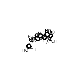 C=C(C)[C@@H]1CC[C@]2(C(=O)O)CC[C@]3(C)[C@H](CC[C@@H]4[C@@]5(C)CC[C@H](NCCc6ccc(O)c(O)c6)C(C)(C)[C@@H]5CC[C@]43C)[C@@H]12